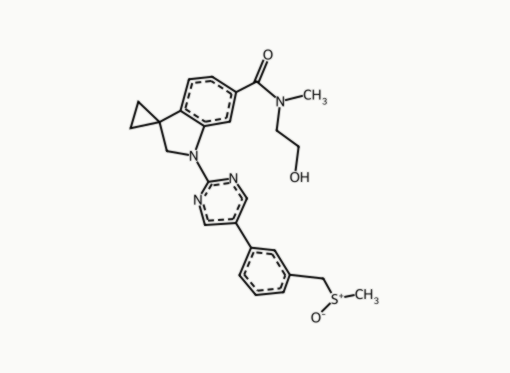 CN(CCO)C(=O)c1ccc2c(c1)N(c1ncc(-c3cccc(C[S+](C)[O-])c3)cn1)CC21CC1